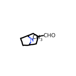 CN1C2CCC1CC(C=O)C2